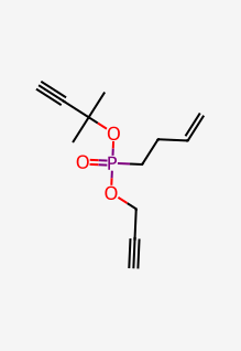 C#CCOP(=O)(CCC=C)OC(C)(C)C#C